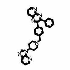 c1ccc(-c2nc3ncccc3nc2-c2ccc(CN3CCC(n4cnc5cccnc54)CC3)cc2)cc1